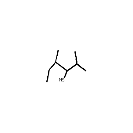 CCC(C)C(S)C(C)C